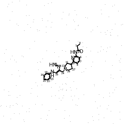 CCC(=O)Nc1cccc(C2CCN(C/C(=C/Nc3ccccc3)N=N)CC2)n1